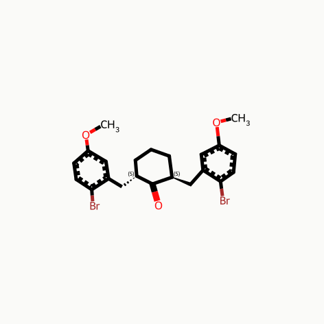 COc1ccc(Br)c(C[C@@H]2CCC[C@@H](Cc3cc(OC)ccc3Br)C2=O)c1